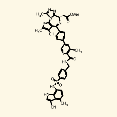 COC(=O)C[C@@H]1N=C(c2ccc(-c3cnc(C(=O)NCc4ccc(S(=O)(=O)Nc5ccc(C)c6c(C#N)c[nH]c56)cc4)c(C)c3)cc2)c2c(sc(C)c2C)-n2c(C)nnc21